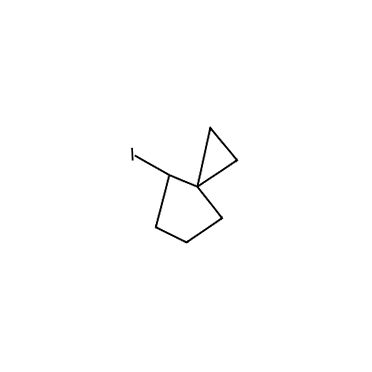 IC1CCCC12CC2